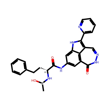 CB(O)N[C@H](CCc1ccccc1)C(=O)Nc1cc2c3c(c(-c4ccccn4)[nH]c3c1)C=NNC2=O